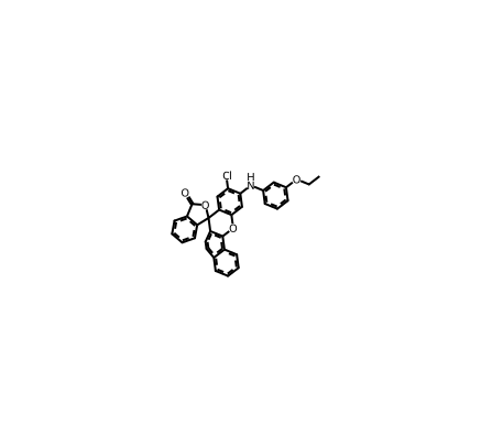 CCOc1cccc(Nc2cc3c(cc2Cl)C2(OC(=O)c4ccccc42)c2ccc4ccccc4c2O3)c1